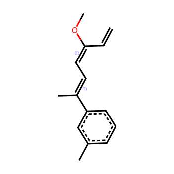 C=C/C(=C\C=C(/C)c1cccc(C)c1)OC